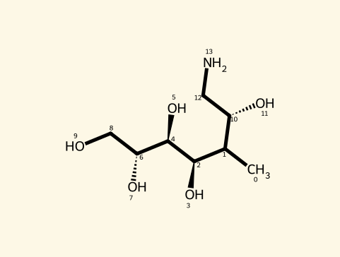 CC([C@@H](O)[C@H](O)[C@H](O)CO)[C@@H](O)CN